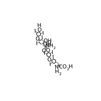 N[C@@H](Cc1cc(I)c(Oc2cc(I)c(OC(=O)[C@@H](N)CC3(O)C=C(I)C(Oc4cc(I)c(O)c(I)c4)=C(I)C3O)c(I)c2)c(I)c1)C(=O)O